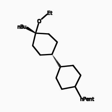 CCCCCC1CCC([C@H]2CC[C@@](CCCC)(OCC)CC2)CC1